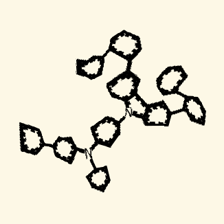 c1ccc(-c2ccc(N(c3ccccc3)c3ccc(-n4c5ccc(-c6ccccc6-c6ccccc6)cc5c5cc(-c6ccccc6-c6ccccc6)ccc54)cc3)cc2)cc1